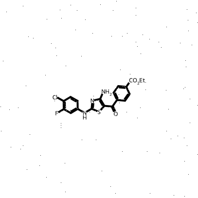 CCOC(=O)c1ccc(C(=O)c2sc(Nc3ccc(Cl)c(F)c3)nc2N)cc1